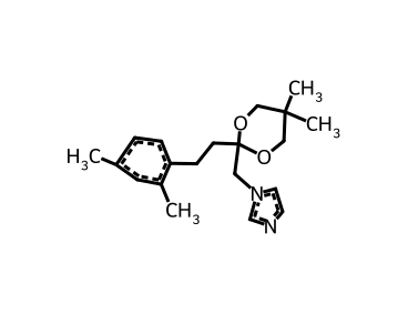 Cc1ccc(CCC2(Cn3ccnc3)OCC(C)(C)CO2)c(C)c1